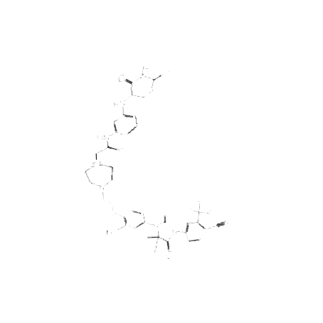 CC1(C)C(=O)N(c2ccc(C#N)c(C(F)(F)F)c2)C(=S)N1c1ccc(OCCN2CCN(CC(=O)Nc3cccc(NC4CCC(=O)NC4=O)c3)CC2)c(Br)c1